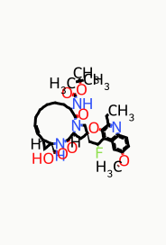 CCc1nc2ccc(OC)cc2c2c1O[C@]1(C[C@H]2F)C[C@H]2C(=O)N[C@]3(C(=O)O)C[C@H]3/C=C\CCCCC[C@H](NC(=O)OC(C)(C)C)C(=O)N2C1